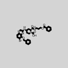 O=C(OCCCNC(=O)[C@@H]1CC(Nc2cnc3ccc(Br)c(OCc4ccccc4)c3n2)CCN1C(=O)O)c1ccccc1